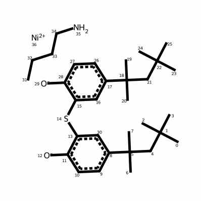 CC(C)(C)CC(C)(C)c1ccc([O-])c(Sc2cc(C(C)(C)CC(C)(C)C)ccc2[O-])c1.CCCCN.[Ni+2]